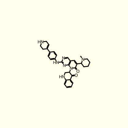 CN1CCCCC1c1cc2cnc(Nc3ccc(C4=CCNCC4)cc3)nc2n(C2CNc3ccccc3C2=O)c1=O